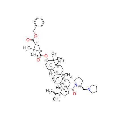 C=C(C)[C@@H]1CC[C@]2(C(=O)N3CCC[C@H]3CN3CCCC3)CC[C@]3(C)[C@H](CC[C@@H]4[C@@]5(C)CC[C@H](OC(=O)[C@@H]6C[C@H](C(=O)OCc7ccccc7)C6(C)C)C(C)(C)[C@@H]5CC[C@]43C)[C@@H]12